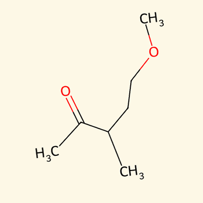 COCCC(C)C(C)=O